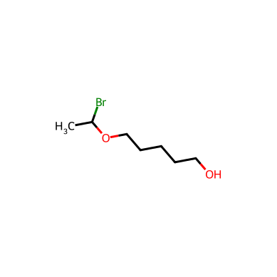 CC(Br)OCCCCCO